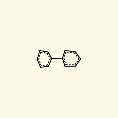 [c]1[c][c]c(-c2[c][c][c][c]c2)c[c]1